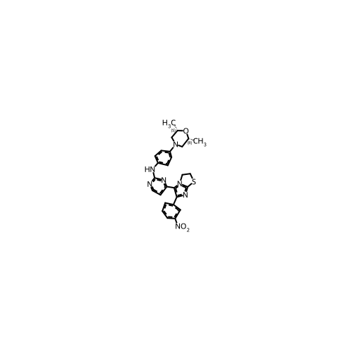 C[C@@H]1CN(c2ccc(Nc3nccc(-c4c(-c5cccc([N+](=O)[O-])c5)nc5n4CCS5)n3)cc2)C[C@H](C)O1